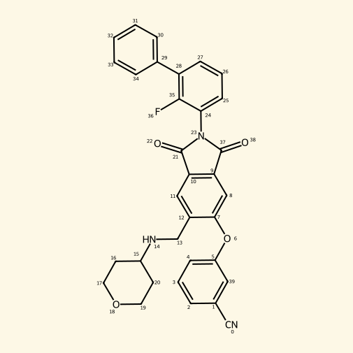 N#Cc1cccc(Oc2cc3c(cc2CNC2CCOCC2)C(=O)N(c2cccc(-c4ccccc4)c2F)C3=O)c1